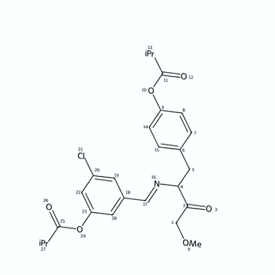 COCC(=O)C(Cc1ccc(OC(=O)C(C)C)cc1)N=Cc1cc(Cl)cc(OC(=O)C(C)C)c1